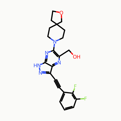 OCc1nc2c(C#Cc3cccc(F)c3F)n[nH]c2nc1N1CCC2(CCOC2)CC1